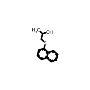 CC(O)CSc1cccc2ccccc12